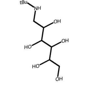 CC(C)(C)NCC(O)C(O)C(O)C(O)CO